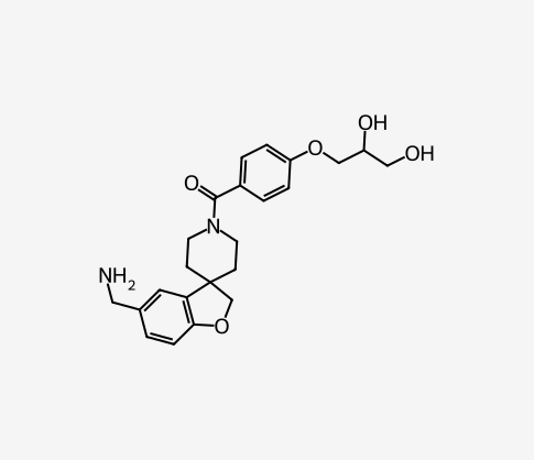 NCc1ccc2c(c1)C1(CCN(C(=O)c3ccc(OCC(O)CO)cc3)CC1)CO2